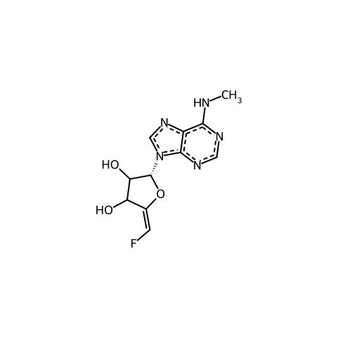 CNc1ncnc2c1ncn2[C@@H]1OC(=CF)C(O)C1O